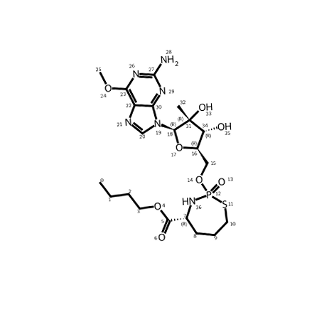 CCCCOC(=O)[C@H]1CCCSP(=O)(OC[C@H]2O[C@@H](n3cnc4c(OC)nc(N)nc43)[C@](C)(O)[C@@H]2O)N1